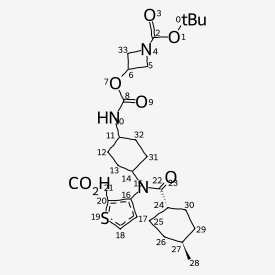 CC(C)(C)OC(=O)N1CC(OC(=O)NC2CCC(N(c3ccsc3C(=O)O)C(=O)[C@H]3CC[C@H](C)CC3)CC2)C1